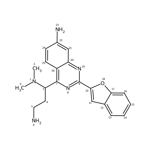 CN(C)C(CCN)c1nc(-c2cc3ccccc3o2)nc2cc(N)ccc12